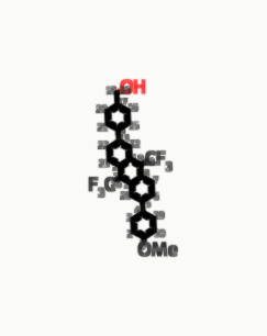 COc1ccc(-c2ccc3c(C(F)(F)F)c4cc(-c5ccc(CO)cc5)ccc4c(C(F)(F)F)c3c2)cc1